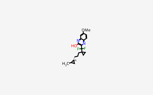 COc1ccc2nc(C(F)(F)C3(CCC[C@@H]4CC4C)CC3)c(O)nc2c1